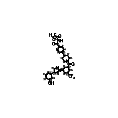 CS(=O)(=O)NC(=O)c1ccc(N2CCN(C(=O)c3cc(-n4cc(-c5cccc(O)c5)cn4)cc(C(F)(F)F)c3)CC2)nn1